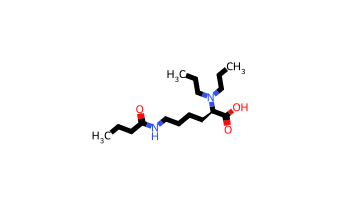 CCCC(=O)NCCCC[C@H](C(=O)O)N(CCC)CCC